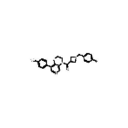 N#Cc1ccc(-c2cncc3c2OCCN3C(=O)C2CN(Cc3ccc(F)cc3)C2)cc1